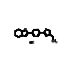 CCc1csc(-c2ccc(-c3cn4c(n3)CCCC4)cc2)c1.Cl